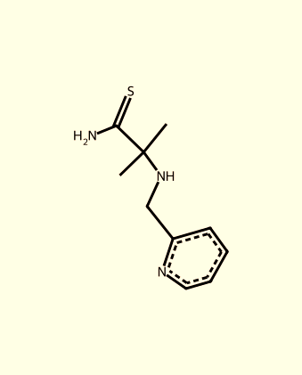 CC(C)(NCc1ccccn1)C(N)=S